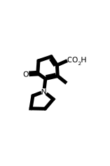 CC1=C(N2CCCC2)C(=O)CC=C1C(=O)O